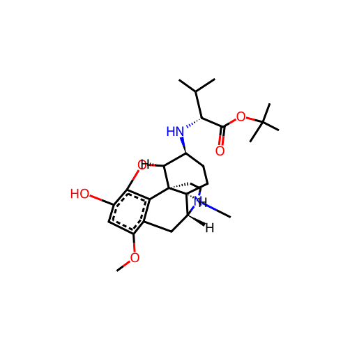 COc1cc(O)c2c3c1C[C@@H]1[C@@H]4CC[C@H](N[C@@H](C(=O)OC(C)(C)C)C(C)C)[C@H](O2)[C@]34CCN1C